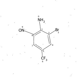 Nc1c(Br)cc(C(F)(F)F)cc1N=O